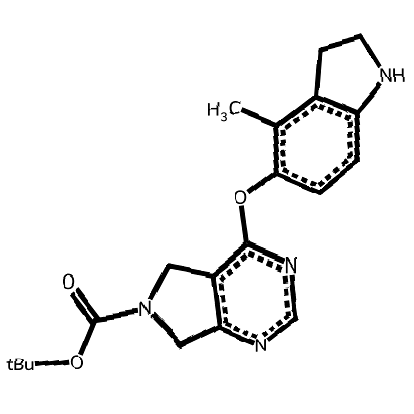 Cc1c(Oc2ncnc3c2CN(C(=O)OC(C)(C)C)C3)ccc2c1CCN2